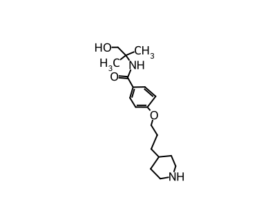 CC(C)(CO)NC(=O)c1ccc(OCCCC2CCNCC2)cc1